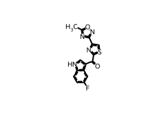 Cc1nc(-c2csc(C(=O)c3c[nH]c4ccc(F)cc34)n2)no1